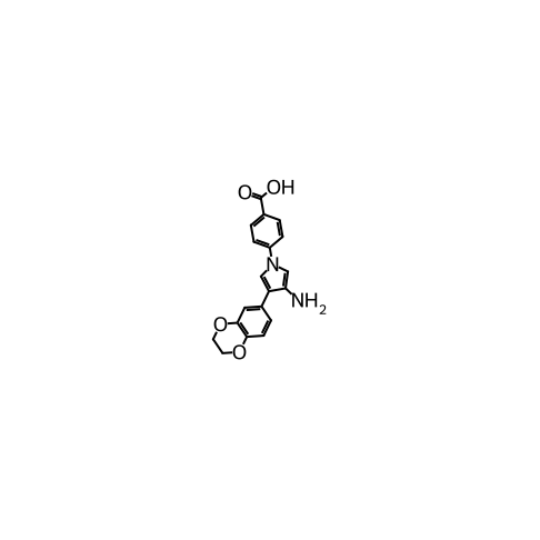 Nc1cn(-c2ccc(C(=O)O)cc2)cc1-c1ccc2c(c1)OCCO2